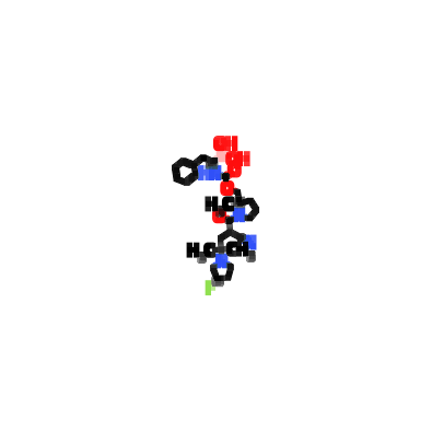 CC(C)(CC(C#N)C(=O)N1CCC[C@]1(C)COC(=O)N[C@@H](Cc1ccccc1)B(O)O)N1CC[C@H](F)C1